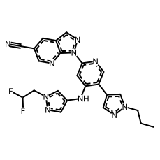 CCCn1cc(-c2cnc(-n3ncc4cc(C#N)cnc43)cc2Nc2cnn(CC(F)F)c2)cn1